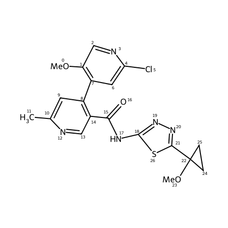 COc1cnc(Cl)cc1-c1cc(C)ncc1C(=O)Nc1nnc(C2(OC)CC2)s1